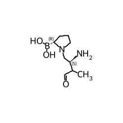 CC(C=O)[C@H](N)CN1CCC[C@H]1B(O)O